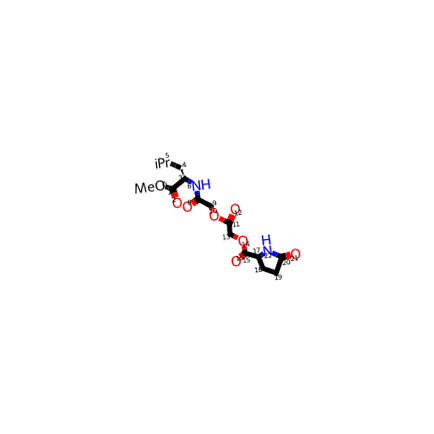 COC(=O)[C@H](CC(C)C)NC(=O)COC(=O)COC(=O)C1CCC(=O)N1